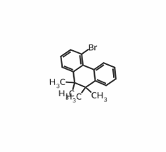 CC1(C)c2ccccc2-c2c(Br)cccc2C1(C)C